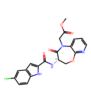 COC(=O)CN1C(=O)[C@@H](NC(=O)c2cc3cc(Cl)ccc3[nH]2)COc2ncccc21